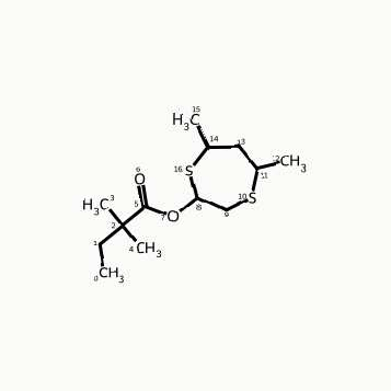 CCC(C)(C)C(=O)OC1CSC(C)CC(C)S1